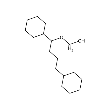 O[SiH2]OC(CCCC1CCCCC1)C1CCCCC1